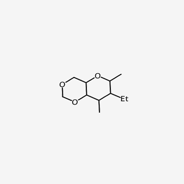 CCC1C(C)OC2COCOC2C1C